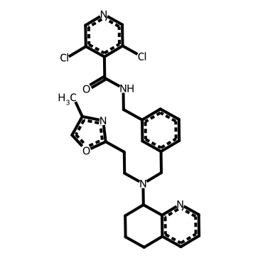 Cc1coc(CCN(Cc2cccc(CNC(=O)c3c(Cl)cncc3Cl)c2)C2CCCc3cccnc32)n1